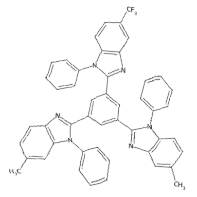 Cc1ccc2c(c1)nc(-c1cc(-c3nc4cc(C(F)(F)F)ccc4n3-c3ccccc3)cc(-c3nc4ccc(C)cc4n3-c3ccccc3)c1)n2-c1ccccc1